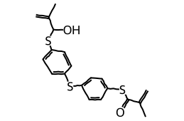 C=C(C)C(=O)Sc1ccc(Sc2ccc(SC(O)C(=C)C)cc2)cc1